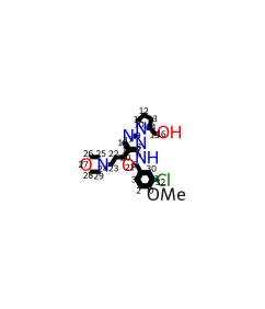 COc1ccc(CNc2nc(N3CCCC3CO)ncc2C(=O)CCN2CCOCC2)cc1Cl